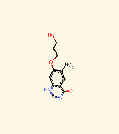 O=c1nc[nH]c2cc(OCCCO)c([N+](=O)[O-])cc12